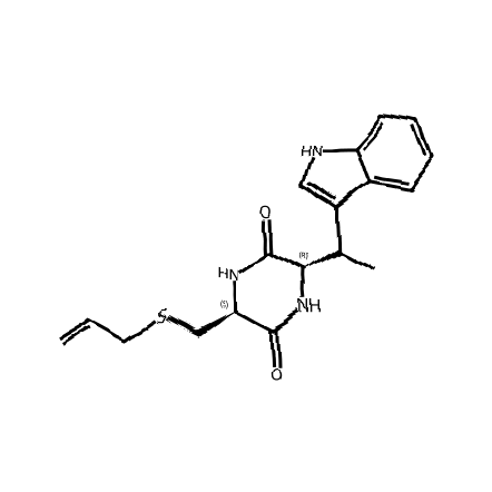 C=CCSC[C@H]1NC(=O)[C@@H](C(C)c2c[nH]c3ccccc23)NC1=O